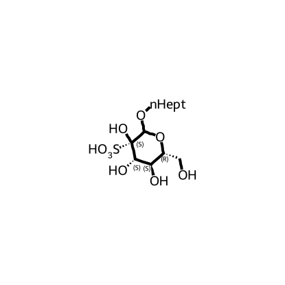 CCCCCCCOC1O[C@H](CO)[C@@H](O)[C@H](O)[C@]1(O)S(=O)(=O)O